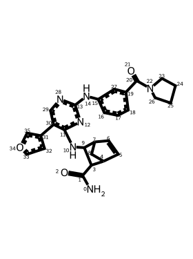 NC(=O)C1C2C=CC(C2)C1Nc1nc(Nc2cccc(C(=O)N3CCCC3)c2)ncc1-c1ccoc1